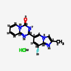 Cc1cn2cc(-c3nc(=O)n4ccccc4n3)cc(F)c2n1.Cl